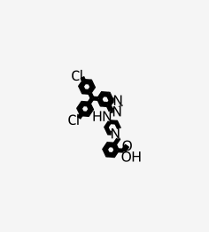 O=C(O)c1ccccc1CN1CCC(Nc2ncnc3ccc(C(c4ccc(Cl)cc4)c4ccc(Cl)cc4)cc23)CC1